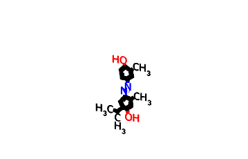 Cc1cc(/N=N/c2cc(C(C)C)c(O)cc2C)ccc1O